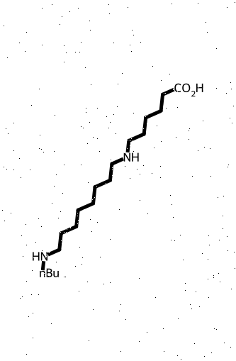 CCCCNCCCCCCCCNCCCCCC(=O)O